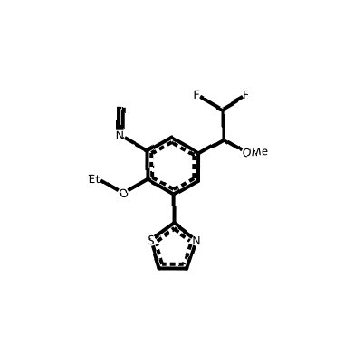 C=Nc1cc(C(OC)C(F)F)cc(-c2nccs2)c1OCC